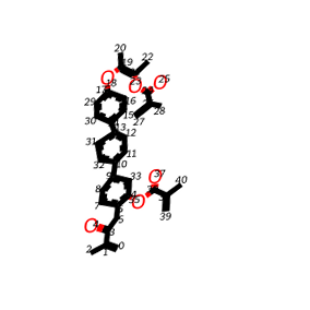 C=C(C)C(=O)Cc1ccc(-c2ccc(-c3ccc(OC(C)=C(C)OC(=O)C(=C)C)cc3)cc2)cc1OC(=O)C(=C)C